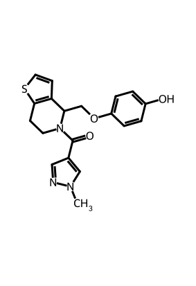 Cn1cc(C(=O)N2CCc3sccc3C2COc2ccc(O)cc2)cn1